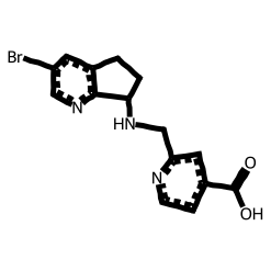 O=C(O)c1ccnc(CNC2CCc3cc(Br)cnc32)c1